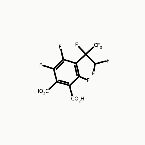 O=C(O)c1c(F)c(F)c(C(F)(C(F)F)C(F)(F)F)c(F)c1C(=O)O